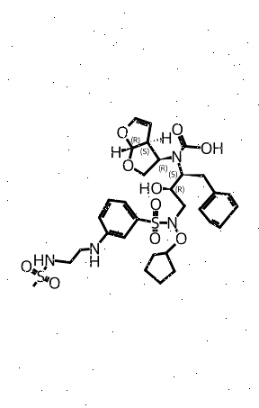 CS(=O)(=O)NCCNc1cccc(S(=O)(=O)N(C[C@@H](O)[C@H](Cc2ccccc2)N(C(=O)O)[C@H]2CO[C@@H]3OC=C[C@H]32)OC2CCCC2)c1